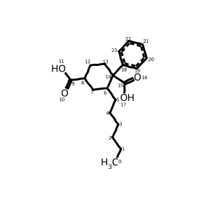 CCCCCCC1CC(C(=O)O)CCC1(C(=O)O)c1ccccc1